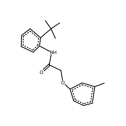 Cc1cccc(OCC(=O)Nc2ccccc2C(C)(C)C)c1